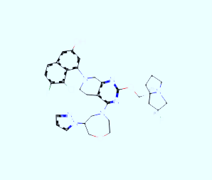 Oc1cc(N2CCc3c(nc(OC[C@@]45CCCN4C[C@H](F)C5)nc3N3CCOCC(n4cccn4)C3)C2)c2c(Cl)c(F)ccc2c1